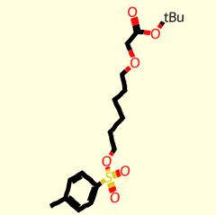 Cc1ccc(S(=O)(=O)OCCCCCCOCC(=O)OC(C)(C)C)cc1